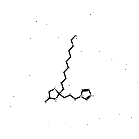 CCCCCCCCCCCC1(CCCn2ccnc2)SCC(C)S1